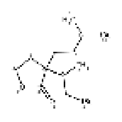 CC(CCC1(C(C)CC(C)(C)C)CCOC1=O)C(C)(C)C